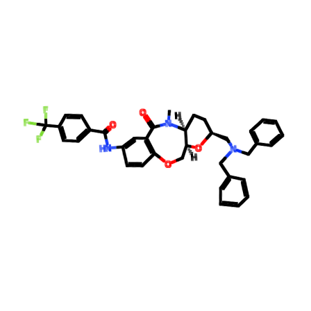 CN1C(=O)c2cc(NC(=O)c3ccc(C(F)(F)F)cc3)ccc2OC[C@@H]2O[C@H](CN(Cc3ccccc3)Cc3ccccc3)CC[C@@H]21